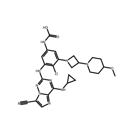 COC1CCN(C2CN(c3cc(NC(=O)O)cc(Nc4nc(NC5CC5)c5ncc(C#N)n5n4)c3Cl)C2)CC1